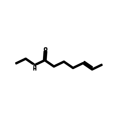 CC=CCCCC(=O)NCC